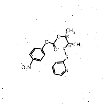 C[C@@H](OC(=O)Oc1ccc([N+](=O)[O-])cc1)[C@@H](C)SSc1ccccn1